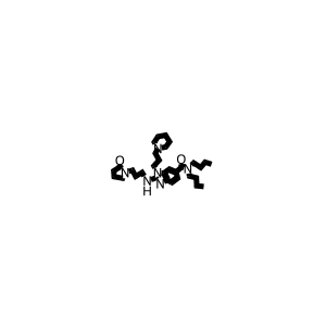 CCCCN(CCCC)C(=O)c1ccc2nc(NCCCN3CCCC3=O)n(CCCN3CCCCC3)c2c1